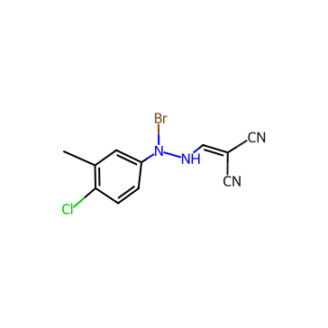 Cc1cc(N(Br)NC=C(C#N)C#N)ccc1Cl